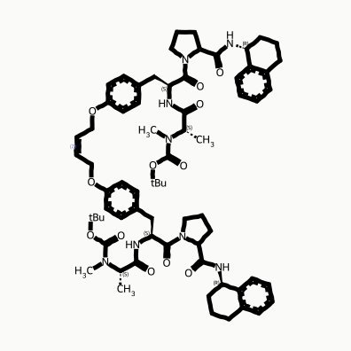 C[C@@H](C(=O)N[C@@H](Cc1ccc(OC/C=C\COc2ccc(C[C@H](NC(=O)[C@H](C)N(C)C(=O)OC(C)(C)C)C(=O)N3CCCC3C(=O)N[C@@H]3CCCc4ccccc43)cc2)cc1)C(=O)N1CCCC1C(=O)N[C@@H]1CCCc2ccccc21)N(C)C(=O)OC(C)(C)C